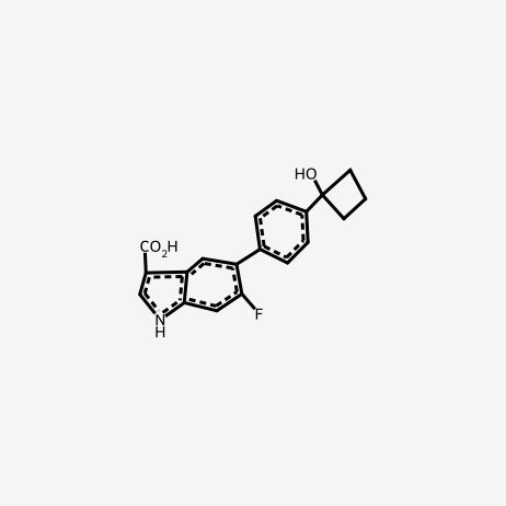 O=C(O)c1c[nH]c2cc(F)c(-c3ccc(C4(O)CCC4)cc3)cc12